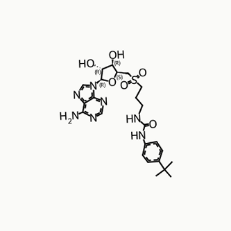 CC(C)(C)c1ccc(NC(=O)NCCCS(=O)(=O)C[C@H]2O[C@@H](n3cnc4c(N)ncnc43)[C@H](O)[C@H]2O)cc1